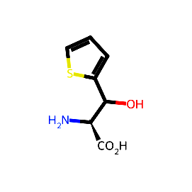 N[C@H](C(=O)O)C(O)c1cccs1